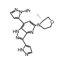 CC(C)n1nccc1-c1cc(N2CCOC[C@H]2C)nc2c(-c3ccn[nH]3)n[nH]c12